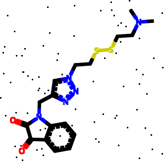 CN(C)CCSSCCn1cc(CN2C(=O)C(=O)c3ccccc32)nn1